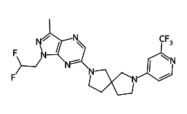 Cc1nn(CC(F)F)c2nc(N3CCC4(CCN(c5ccnc(C(F)(F)F)c5)C4)C3)cnc12